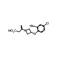 C=C(CC(=O)O)N1CC(Oc2ccc(Cl)cc2C(C)(C)C)C1